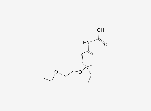 CCOCCOC1(CC)C=CC(NC(=O)O)=CC1